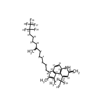 C=C(CCCCCCn1c(C)c(C)c2c3c(ccc21)NC(=C)C=C3C(F)(F)F)CCCCC(F)(F)C(F)(F)F